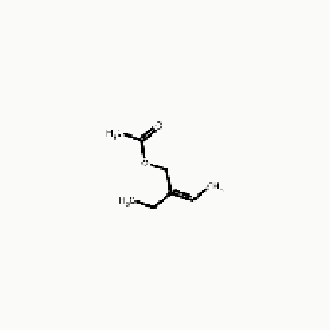 CC=C(CC)COC(C)=O